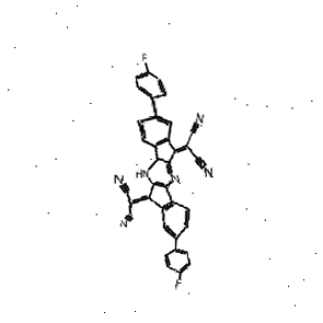 N#CC(C#N)=C1C2=C(N=C3C(=C(C#N)C#N)c4cc(-c5ccc(F)cc5)ccc4C3N2)c2ccc(-c3ccc(F)cc3)cc21